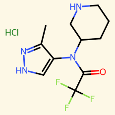 Cc1n[nH]cc1N(C(=O)C(F)(F)F)C1CCCNC1.Cl